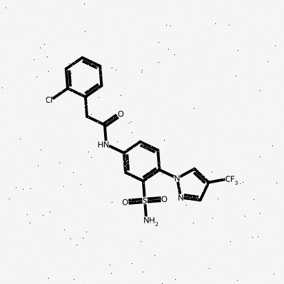 NS(=O)(=O)c1cc(NC(=O)Cc2ccccc2Cl)ccc1-n1cc(C(F)(F)F)cn1